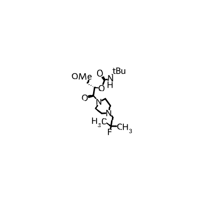 COC[C@H](OC(=O)NC(C)(C)C)C(=O)N1CCN(CC(C)(C)F)CC1